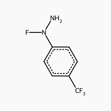 NN(F)c1ccc(C(F)(F)F)cc1